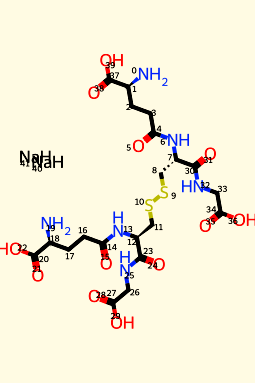 N[C@@H](CCC(=O)N[C@@H](CSSC[C@H](NC(=O)CC[C@H](N)C(=O)O)C(=O)NCC(=O)O)C(=O)NCC(=O)O)C(=O)O.[NaH].[NaH]